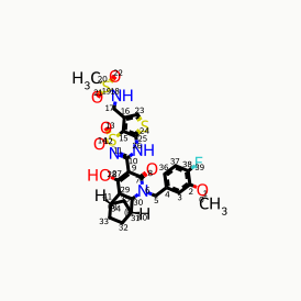 COc1cc(CN2C(=O)C(C3=NS(=O)(=O)c4c(CNS(C)(=O)=O)csc4N3)=C(O)C3C2[C@@H]2CC[C@H]3C2)ccc1F